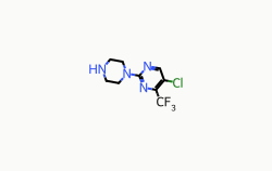 FC(F)(F)c1nc(N2CCNCC2)ncc1Cl